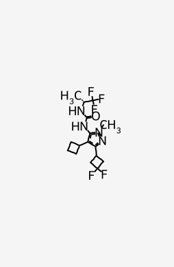 C[C@@H](NC(=O)Nc1c(C2CCC2)c(C2CC(F)(F)C2)nn1C)C(F)(F)F